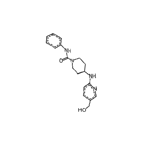 O=C(Nc1ccccc1)N1CCC(Nc2ccc(CO)cn2)CC1